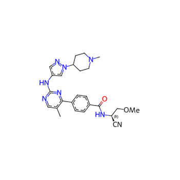 COC[C@@H](C#N)NC(=O)c1ccc(-c2nc(Nc3cnn(C4CCN(C)CC4)c3)ncc2C)cc1